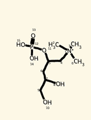 C[N+](C)(C)CC(CC(O)CO)OP(=O)(O)O